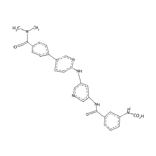 CN(C)C(=O)c1ccc(-c2ccc(Nc3cncc(NC(=O)c4cccc(NC(=O)O)c4)c3)nc2)cc1